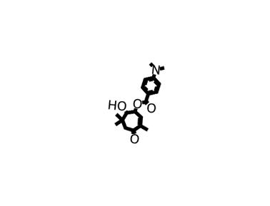 CC1=CC(OC(=O)c2ccc(N(C)C)cc2)C(O)C(C)(C)CC1=O